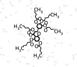 CCCCC(=O)Oc1cc(OC(=O)CCCC)c2c(=O)c(OC(=O)CCCC)c(-c3cc(OC(=O)CCCC)c(OC(=O)CCCC)c(OC(=O)CCCC)c3)oc2c1